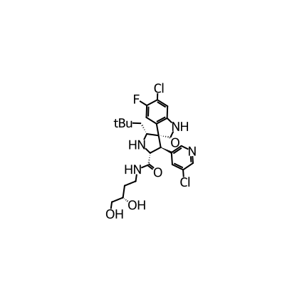 CC(C)(C)C[C@H]1N[C@@H](C(=O)NCC[C@H](O)CO)[C@H](c2cncc(Cl)c2)[C@@]12C(=O)Nc1cc(Cl)c(F)cc12